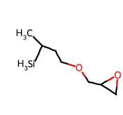 CC([SiH3])CCOCC1CO1